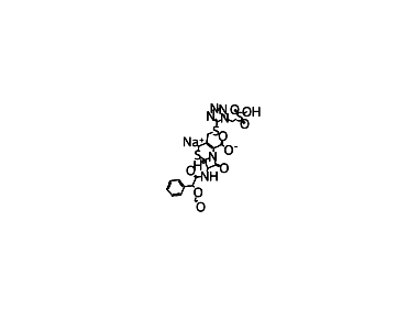 O=COC(C(=O)NC1C(=O)N2C(C(=O)[O-])=C(CSc3nnnn3CS(=O)(=O)O)CS[C@@H]12)c1ccccc1.[Na+]